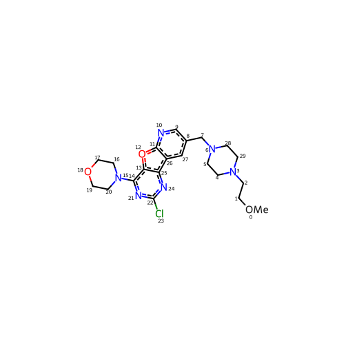 COCCN1CCN(Cc2cnc3oc4c(N5CCOCC5)nc(Cl)nc4c3c2)CC1